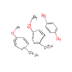 CC(C)Oc1ccc(C(=O)O)cc1.CC(C)Oc1ccc(C(=O)O)cc1.Oc1ccc(O)cc1